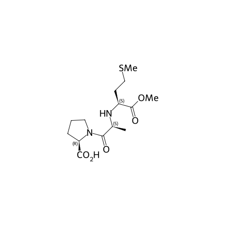 COC(=O)[C@H](CCSC)N[C@@H](C)C(=O)N1CCC[C@@H]1C(=O)O